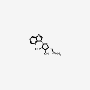 NOC[C@H]1O[C@@H](n2cnc3cncnc32)[C@H](O)[C@@H]1O